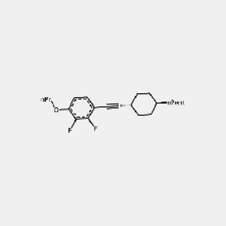 CCCCC[C@H]1CC[C@H](C#Cc2ccc(OCCC)c(F)c2F)CC1